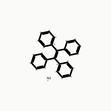 [Nd].c1ccc(C(=C(c2ccccc2)c2ccccc2)c2ccccc2)cc1